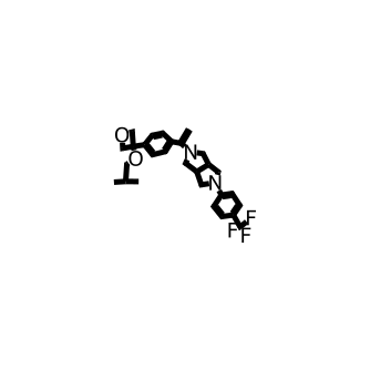 C=C(c1ccc(C2(OCC(C)C)COC2)cc1)N1CC2CN(c3ccc(C(F)(F)F)cc3)CC2C1